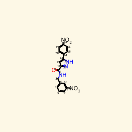 O=C(NCc1cccc([N+](=O)[O-])c1)c1cc(-c2ccc([N+](=O)[O-])cc2)[nH]n1